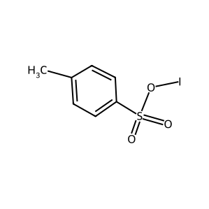 Cc1ccc(S(=O)(=O)OI)cc1